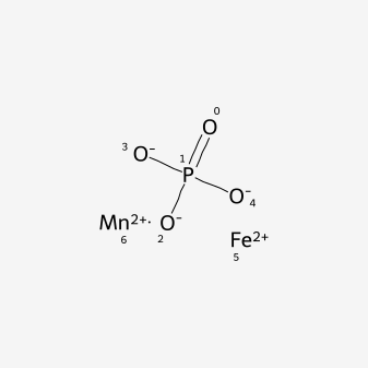 O=P([O-])([O-])[O-].[Fe+2].[Mn+2]